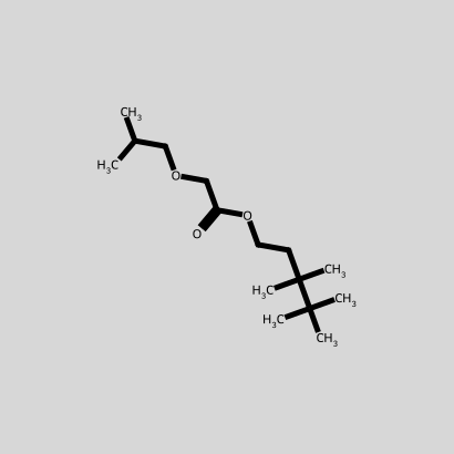 CC(C)COCC(=O)OCCC(C)(C)C(C)(C)C